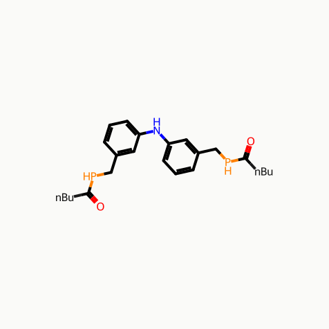 CCCCC(=O)PCc1cccc(Nc2cccc(CPC(=O)CCCC)c2)c1